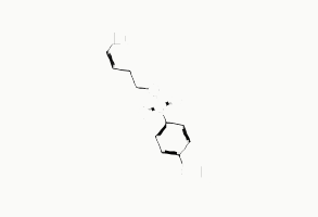 CC/C=C\CCOS(=O)(=O)c1ccc(C)cc1